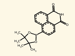 CC1(C)OB(c2ccc3c4c(cccc24)C(=O)NC3=O)OC1(C)C